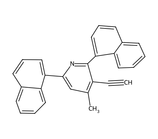 C#Cc1c(C)cc(-c2cccc3ccccc23)nc1-c1cccc2ccccc12